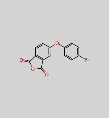 O=C1OC(=O)c2cc(Oc3ccc(Br)cc3)ccc21